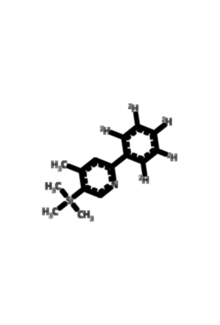 [2H]c1c([2H])c([2H])c(-c2cc(C)c([Si](C)(C)C)cn2)c([2H])c1[2H]